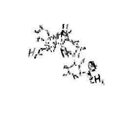 COc1ccccc1NC(=O)c1nc(-c2cccc(C(C)=O)c2)cnc1N